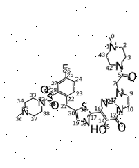 CN1CCN(C(=O)Cn2ccn3c(=O)c(O)c(-c4ncc(Cc5ccc(F)cc5S(=O)(=O)N5CCN(C)CC5)s4)nc23)CC1